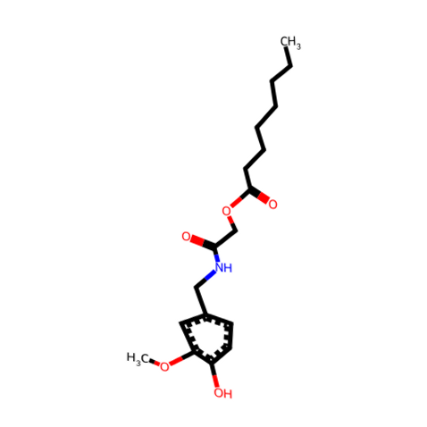 CCCCCCCC(=O)OCC(=O)NCc1ccc(O)c(OC)c1